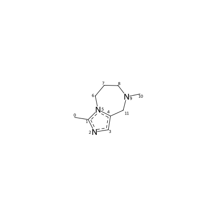 Cc1ncc2n1CCCN(C)C2